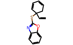 C=CC1(Sc2nc3ccccc3o2)C=CC=CC1